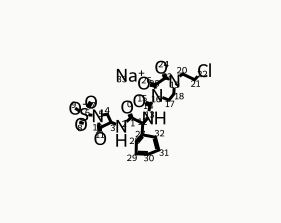 O=C(NC1CN(S(=O)(=O)[O-])C1=O)C(NC(=O)N1CCN(CCCl)C(=O)C1=O)c1ccccc1.[Na+]